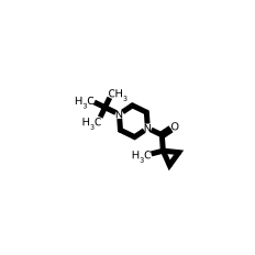 CC1(C(=O)N2CCN(C(C)(C)C)CC2)CC1